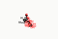 COC(=O)C1=CCCC2C3(C)CC(c4ccoc4)OC(=O)C3CC(OC3OC(CO)C(OC4OC(CO)C(O)C(O)C4O)C(O)C3O)C12C